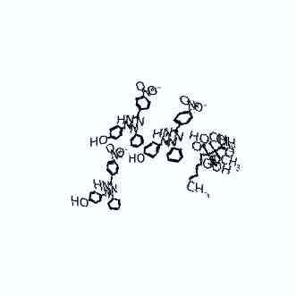 CCCCCCC(C(=O)O)(C(CC)(CC)C(=O)O)S(=O)(=O)O.O=[N+]([O-])c1ccc(C2=NN(c3ccccc3)N(c3ccc(O)cc3)N2)cc1.O=[N+]([O-])c1ccc(C2=NN(c3ccccc3)N(c3ccc(O)cc3)N2)cc1.O=[N+]([O-])c1ccc(C2=NN(c3ccccc3)N(c3ccc(O)cc3)N2)cc1